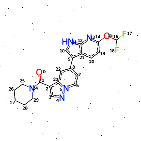 O=C(c1cnn2ccc(-c3c[nH]c4nc(OC(F)F)ccc34)cc12)N1CCCCC1